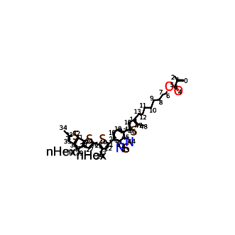 C=C(C)C(=O)OCCCCCCCCc1cc(-c2ccc(-c3cc(C)c(-c4cc5c(s4)-c4sc(C)cc4C5(CCCCCC)CCCCCC)s3)c3nsnc23)sc1C